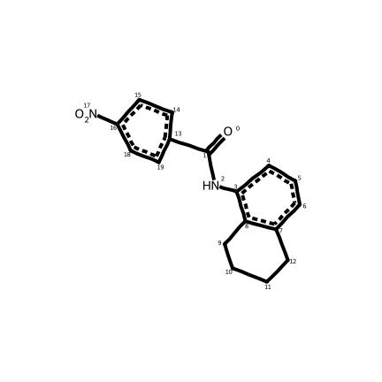 O=C(Nc1cccc2c1CCCC2)c1ccc([N+](=O)[O-])cc1